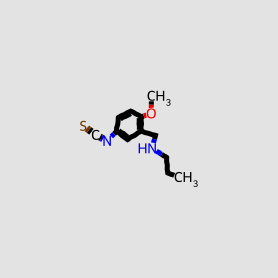 CCCNCc1cc(N=C=S)ccc1OC